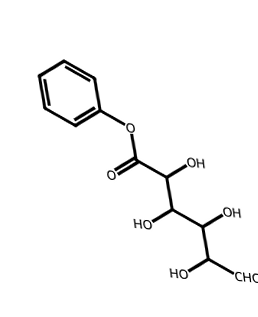 O=CC(O)C(O)C(O)C(O)C(=O)Oc1ccccc1